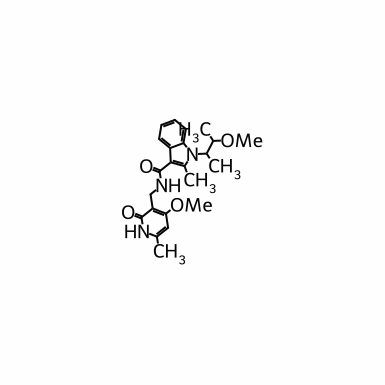 COc1cc(C)[nH]c(=O)c1CNC(=O)c1c(C)n(C(C)C(C)OC)c2ccccc12